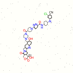 CC[C@@]1(O)C(=O)OCc2c1cc1n(c2=O)Cc2cc3c(CN4CCN(C(=O)C5CCN(c6ccc(C(=O)N[C@H]7CC[C@H](N(C)c8ccc(C#N)c(Cl)c8)CC7)nn6)CC5)CC4)c(O)ccc3nc2-1